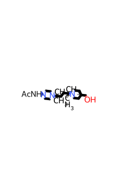 CC(=O)NN1CCN(C(C)(C)CCC(C)(C)N2CCC(CO)CC2)CC1